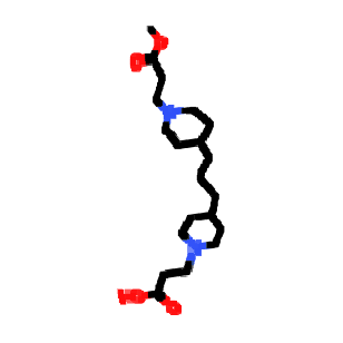 COC(=O)CCN1CCC(CCCC2CCN(CCC(=O)O)CC2)CC1